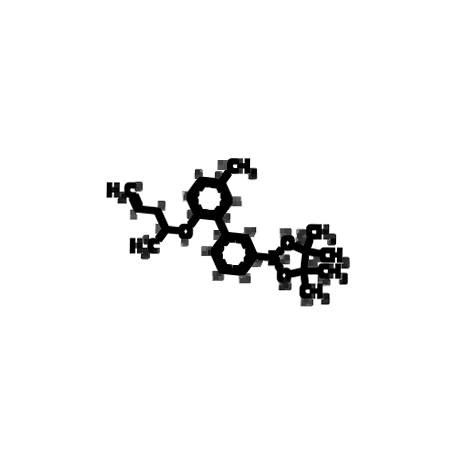 C=CCC(C)Oc1ccc(C)cc1-c1cccc(B2OC(C)(C)C(C)(C)O2)c1